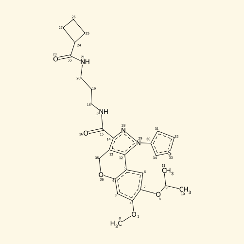 COc1cc2c(cc1OC(C)C)-c1c(c(C(=O)NCCCNC(=O)C3CCC3)nn1-c1ccsc1)CO2